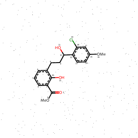 COC(=O)c1cccc(CCC(O)c2ccc(OC)cc2Cl)c1O